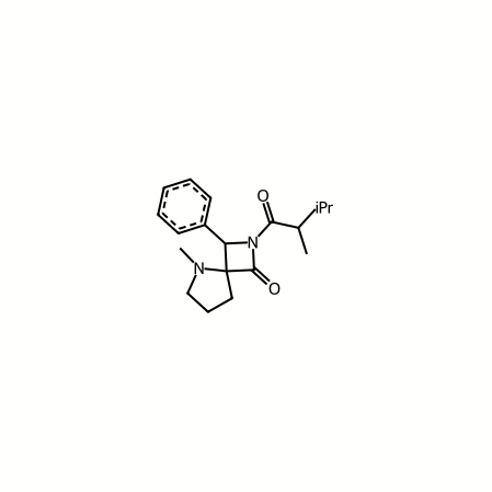 CC(C)C(C)C(=O)N1C(=O)C2(CCCN2C)C1c1ccccc1